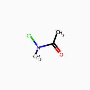 [CH2]C(=O)N(C)Cl